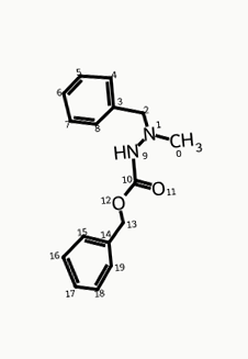 CN(Cc1ccccc1)NC(=O)OCc1ccccc1